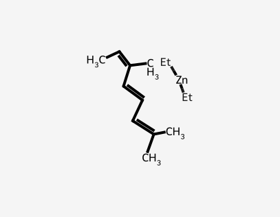 CC=C(C)C=CC=C(C)C.C[CH2][Zn][CH2]C